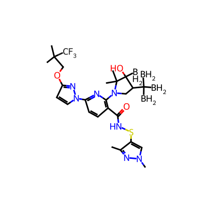 BC(B)(B)C1CN(c2nc(-n3ccc(OCC(C)(C)C(F)(F)F)n3)ccc2C(=O)NSc2cn(C)nc2C)C(C)(C)C1(B)O